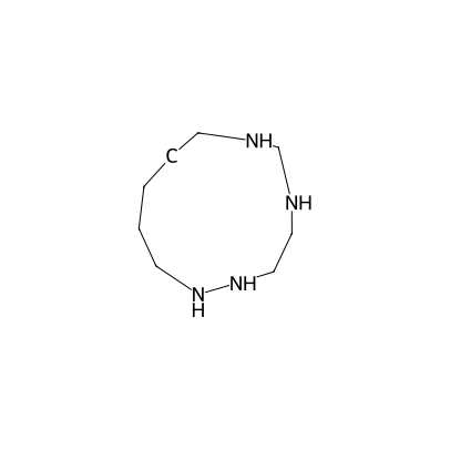 C1CCNCNCCNNCC1